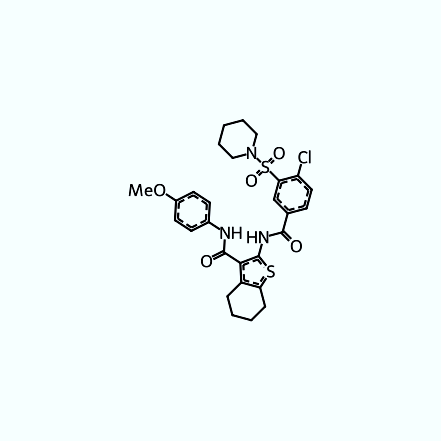 COc1ccc(NC(=O)c2c(NC(=O)c3ccc(Cl)c(S(=O)(=O)N4CCCCC4)c3)sc3c2CCCC3)cc1